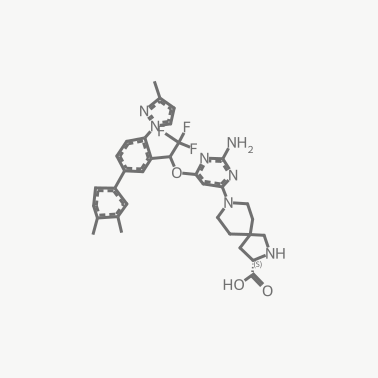 Cc1ccn(-c2ccc(-c3ccc(C)c(C)c3)cc2C(Oc2cc(N3CCC4(CC3)CN[C@H](C(=O)O)C4)nc(N)n2)C(F)(F)F)n1